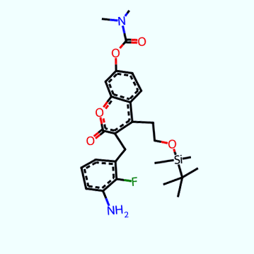 CN(C)C(=O)Oc1ccc2c(CCO[Si](C)(C)C(C)(C)C)c(Cc3cccc(N)c3F)c(=O)oc2c1